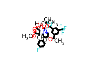 COC(=O)C(C)(CC(=O)O)[C@H]1[C@H](c2ccc(F)cc2)[C@@H](O[C@H](C)c2cc(C(F)(F)F)cc(C(F)(F)F)c2)CN1C(=O)OC(C)(C)C